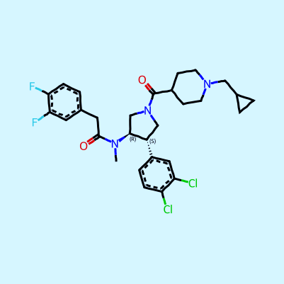 CN(C(=O)Cc1ccc(F)c(F)c1)[C@H]1CN(C(=O)C2CCN(CC3CC3)CC2)C[C@@H]1c1ccc(Cl)c(Cl)c1